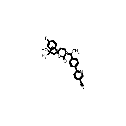 C[C@@H](c1ccc(-c2ccc(C#N)cn2)cc1)N1CCC(CC(C)(C)O)(c2ccc(F)cc2)OC1=O